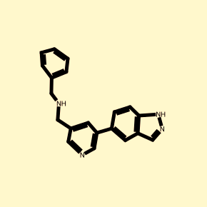 c1ccc(CNCc2cncc(-c3ccc4[nH]ncc4c3)c2)cc1